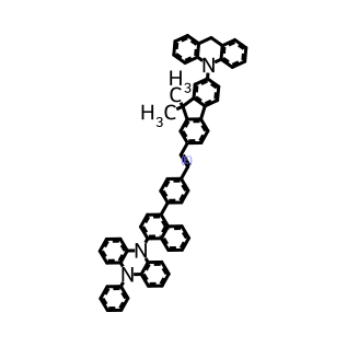 CC1(C)c2cc(/C=C/c3ccc(-c4ccc(N5c6ccccc6N(c6ccccc6)c6ccccc65)c5ccccc45)cc3)ccc2-c2ccc(N3c4ccccc4Cc4ccccc43)cc21